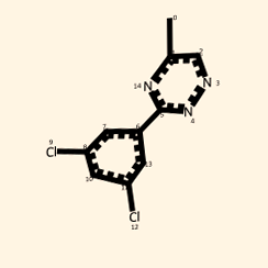 Cc1[c]nnc(-c2cc(Cl)cc(Cl)c2)n1